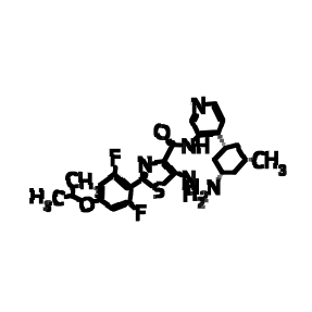 CC(C)Oc1cc(F)c(-c2nc(C(=O)Nc3cnccc3[C@@H]3C[C@H](C)C[C@H](N)C3)c(N)s2)c(F)c1